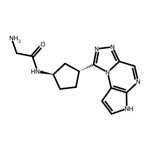 NCC(=O)N[C@@H]1CC[C@@H](c2nnc3cnc4[nH]ccc4n23)C1